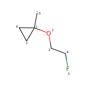 [CH2]C1(OCCF)CC1